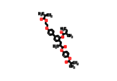 C=C(C)C(=O)OCCOc1ccc(-c2ccc(/C=C(\C)C(=O)Oc3ccc(OC(=O)C(=C)C)cc3)c(OC(=O)/C(C)=C\C)c2)cc1